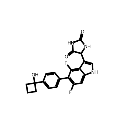 O=C1NC(=O)C(c2c[nH]c3cc(F)c(-c4ccc(C5(O)CCC5)cc4)c(F)c23)N1